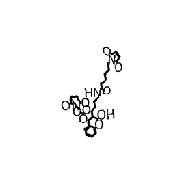 O=C(CCCCCN1C(=O)C=CC1=O)NCCCCC(C(=O)O)C(OC(=O)ON1C(=O)CCC1=O)c1ccccc1